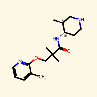 C[C@H]1CNCC[C@@H]1NC(=O)C(C)(C)COc1ncccc1C(F)(F)F